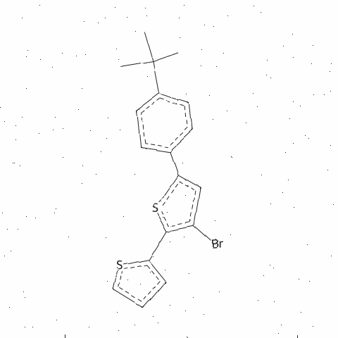 CC(C)(C)c1ccc(-c2cc(Br)c(-c3cccs3)s2)cc1